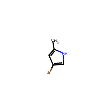 Cc1cc(Br)c[nH]1